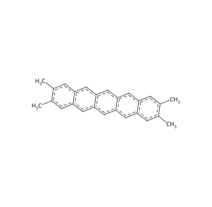 Cc1cc2cc3cc4cc5cc(C)c(C)cc5cc4cc3cc2cc1C